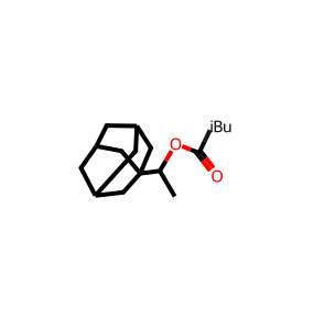 CCC(C)C(=O)OC(C)C12CC3CC(CC(C3)C1)C2